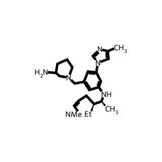 CC[C@@H](C/C=C\NC)[C@H](C)Nc1cc(CN2CCCC(N)C2)cc(-n2cnc(C)c2)c1